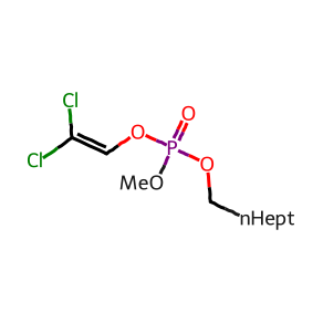 CCCCCCCCOP(=O)(OC)OC=C(Cl)Cl